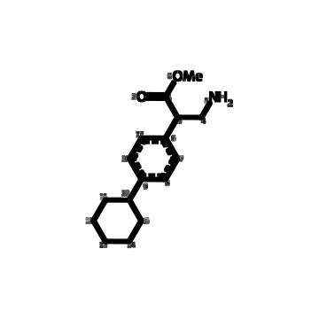 COC(=O)C(CN)c1ccc(C2CCCCC2)cc1